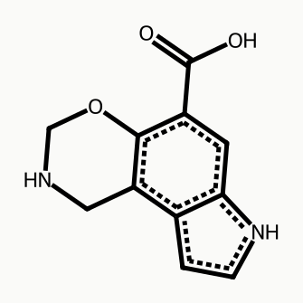 O=C(O)c1cc2[nH]ccc2c2c1OCNC2